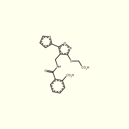 O=C(O)COc1noc(-c2cccs2)c1CNC(=O)c1ccccc1C(=O)O